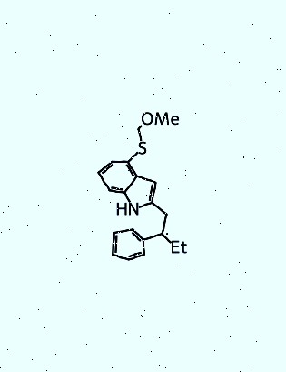 CC[C](Cc1cc2c(SCOC)cccc2[nH]1)c1ccccc1